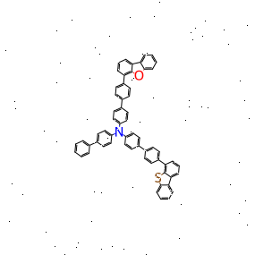 c1ccc(-c2ccc(N(c3ccc(-c4ccc(-c5cccc6c5oc5ccccc56)cc4)cc3)c3ccc(-c4ccc(-c5cccc6c5sc5ccccc56)cc4)cc3)cc2)cc1